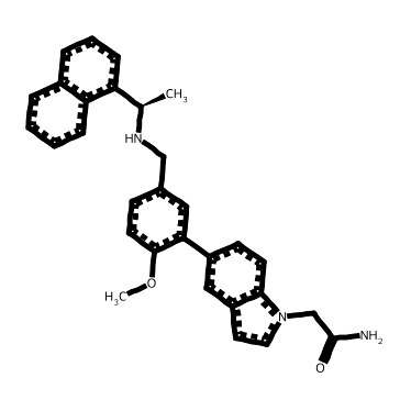 COc1ccc(CN[C@H](C)c2cccc3ccccc23)cc1-c1ccc2c(ccn2CC(N)=O)c1